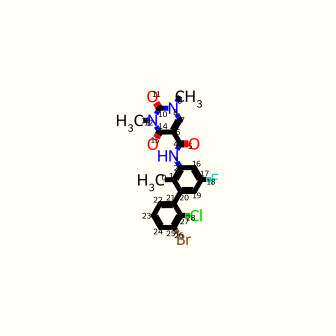 Cc1c(NC(=O)c2cn(C)c(=O)n(C)c2=O)cc(F)cc1-c1cccc(Br)c1Cl